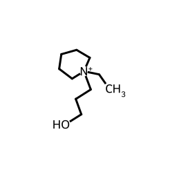 CC[N+]1(CCCO)CCCCC1